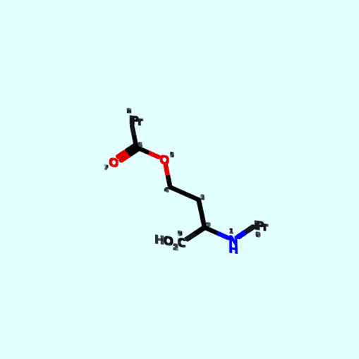 CC(C)NC(CCOC(=O)C(C)C)C(=O)O